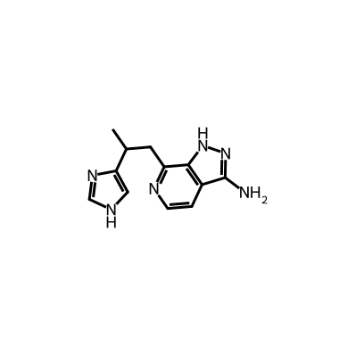 CC(Cc1nccc2c(N)n[nH]c12)c1c[nH]cn1